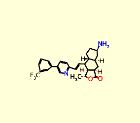 C[C@H]1OC(=O)[C@@H]2C[C@@H]3C[C@H](N)CC[C@H]3[C@H](/C=C/c3ccc(-c4cccc(C(F)(F)F)c4)cn3)[C@H]12